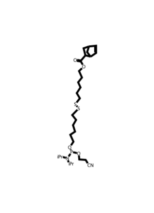 CC(C)N(C(C)C)P(OCCC#N)OCCCCCCSSCCCCCCOC(=O)C1CC2C=CC1C2